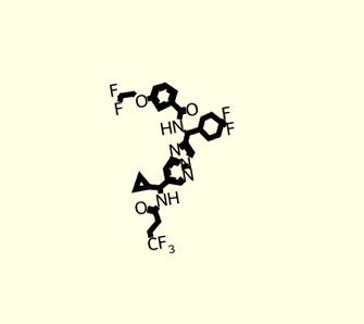 O=C(CCC(F)(F)F)NC(c1cnn2cc([C@@H](NC(=O)c3cccc(OCC(F)F)c3)C3CCC(F)(F)CC3)nc2c1)C1CC1